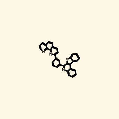 c1cc(-c2ccc3ccc4cccnc4c3n2)cc(-c2nc3ccccc3c3c2sc2ccccc23)c1